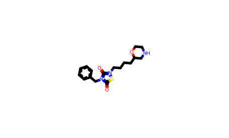 O=c1sn(CCCCC2CNCCO2)c(=O)n1Cc1ccccc1